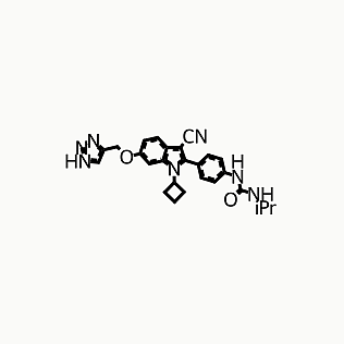 CC(C)NC(=O)Nc1ccc(-c2c(C#N)c3ccc(OCc4c[nH]nn4)cc3n2C2CCC2)cc1